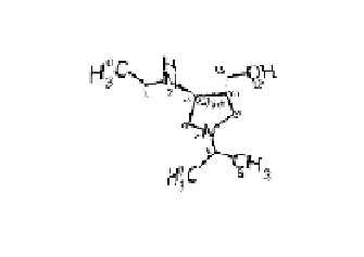 CCN[C@@H]1CN(C(C)C)C[C@H]1CO